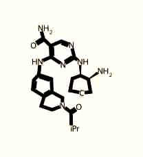 CC(C)C(=O)N1CCc2ccc(Nc3nc(N[C@@H]4CCCC[C@@H]4N)ncc3C(N)=O)cc2C1